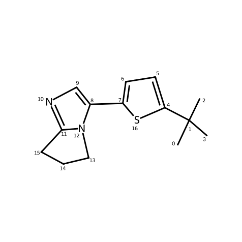 CC(C)(C)c1ccc(-c2cnc3n2CCC3)s1